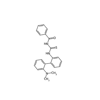 CN(C)c1ccccc1-c1ccccc1NC(=S)NC(=O)c1ccccc1